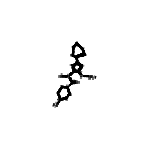 CC(C)N(c1nn(C2=CCCCC2)cc1OC(=O)O)C(=O)[C@H]1CC[C@H](C)CC1